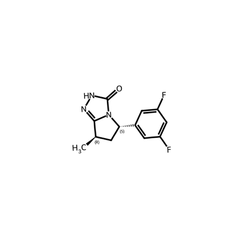 C[C@@H]1C[C@@H](c2cc(F)cc(F)c2)n2c1n[nH]c2=O